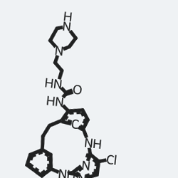 O=C(NCCN1CCNCC1)Nc1ccc2cc1CCc1cccc(c1)Nc1ncc(Cl)c(n1)N2